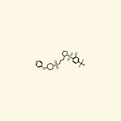 O=S(=O)(CCCC1CCCN1S(=O)(=O)c1ccc(C(F)(F)F)cc1Cl)N1CCC(Oc2ccncc2)CC1